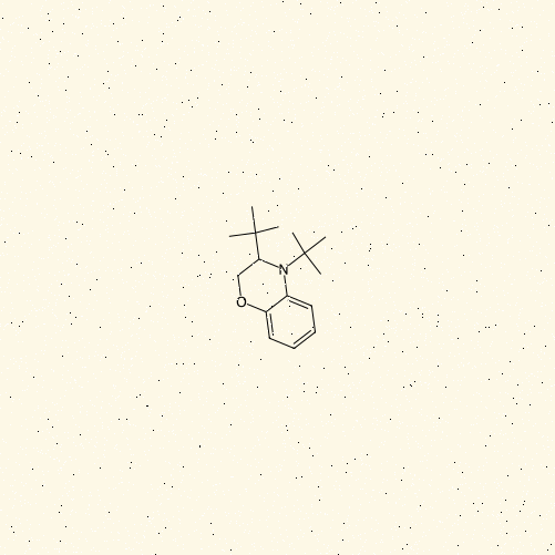 CC(C)(C)C1COc2ccccc2N1C(C)(C)C